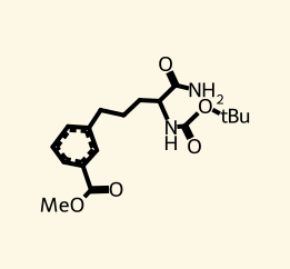 COC(=O)c1cccc(CCCC(NC(=O)OC(C)(C)C)C(N)=O)c1